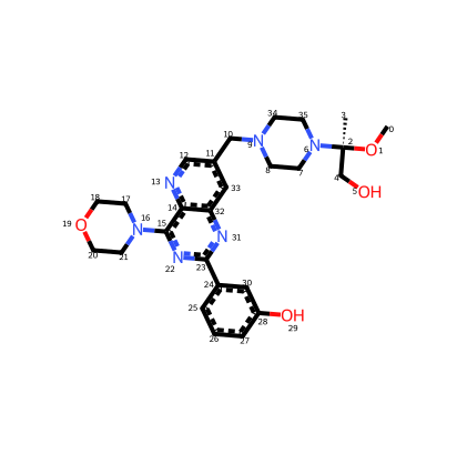 CO[C@@](C)(CO)N1CCN(Cc2cnc3c(N4CCOCC4)nc(-c4cccc(O)c4)nc3c2)CC1